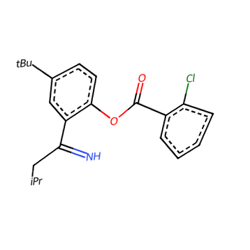 CC(C)CC(=N)c1cc(C(C)(C)C)ccc1OC(=O)c1ccccc1Cl